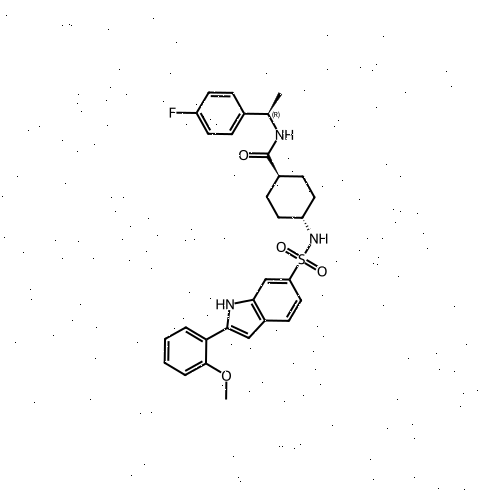 COc1ccccc1-c1cc2ccc(S(=O)(=O)N[C@H]3CC[C@H](C(=O)N[C@H](C)c4ccc(F)cc4)CC3)cc2[nH]1